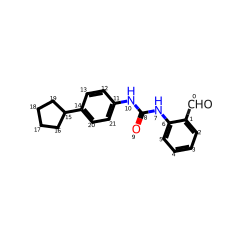 O=Cc1ccccc1NC(=O)Nc1ccc(C2CCCC2)cc1